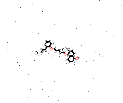 CCCc1ccc2c(c1OCCCCCOc1ccccc1CCC(=O)O)CCCC2=O